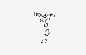 CC(N)C(NC(=O)c1ccc(-c2ccc(CN3CCOCC3)cc2)cc1)C(=O)NO